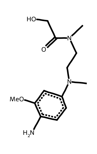 COc1cc(N(C)CCN(C)C(=O)CO)ccc1N